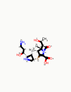 C[C@@H](O)[C@H]1C(=O)N2C(C(=O)O)=C(S[C@@H]3CN[C@H](C(O)CCN)C3)[C@H](C)[C@H]12